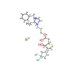 Cc1n(CCCOC(=O)Cc2scc(C3CCC(F)(F)C3)c2O)cc[n+]1Cc1ccccc1.[Br-]